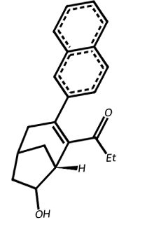 CCC(=O)C1=C(c2ccc3ccccc3c2)CC2CC(O)[C@@H]1C2